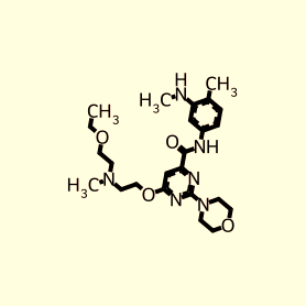 CCOCCN(C)CCOc1cc(C(=O)Nc2ccc(C)c(NC)c2)nc(N2CCOCC2)n1